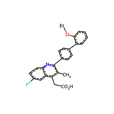 CCOc1ccccc1-c1ccc(-c2nc3ccc(F)cc3c(CC(=O)O)c2C)cc1